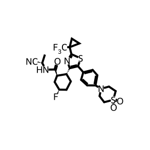 C[C@@H](C#N)NC(=O)[C@@H]1C[C@@H](F)CC[C@H]1c1nc(C2(C(F)(F)F)CC2)sc1-c1ccc(N2CCS(=O)(=O)CC2)cc1